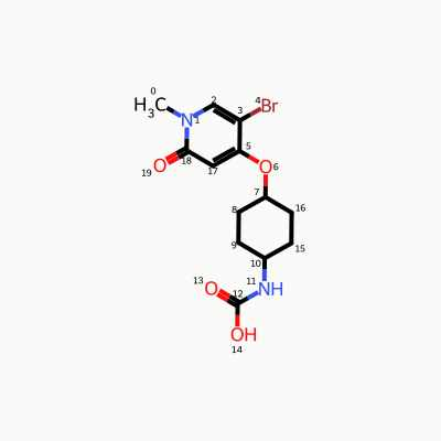 Cn1cc(Br)c(OC2CCC(NC(=O)O)CC2)cc1=O